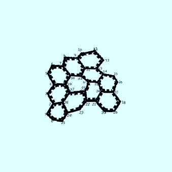 c1cc2cc3ccc4cc5cccc6c7ccc8cccc9c%10cc(c1)c2c1c3c4c(c56)c(c7c89)c%101